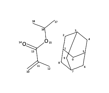 C1C2CC3CC1CC(C2)C3.C=C(C)C(=O)OC(C)C